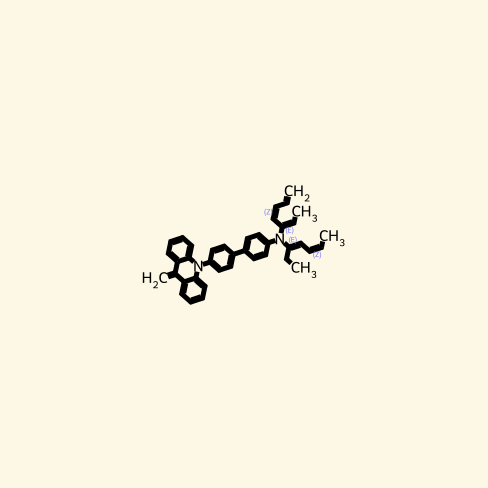 C=C/C=C\C(=C/C)N(/C(=C/C=C\C)CC)c1ccc(-c2ccc(N3c4ccccc4C(=C)c4ccccc43)cc2)cc1